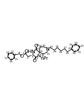 CCCN1C(=O)[C@@H](CC(=O)OCc2ccccc2)NC(=O)C12CCN(CCCCCCc1ccccc1)CC2